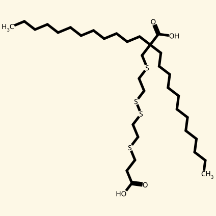 CCCCCCCCCCCCC(CCCCCCCCCCCC)(CSCCSSCCSCCC(=O)O)C(=O)O